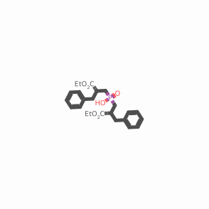 CCOC(=O)C(Cc1ccccc1)CP(=O)(O)CC(Cc1ccccc1)C(=O)OCC